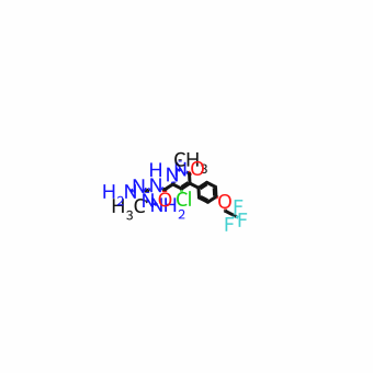 CN(N)/C(=N\N)NC(=O)c1nn(C)c(=O)c(-c2ccc(OCC(F)(F)F)cc2)c1Cl